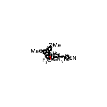 COc1ccc(C(NC2=N[C@@](C)(c3cc(C#Cc4ccc(C#N)cn4)cs3)C[C@@H](C(F)(F)F)O2)(c2ccccc2)c2ccc(OC)cc2)cc1